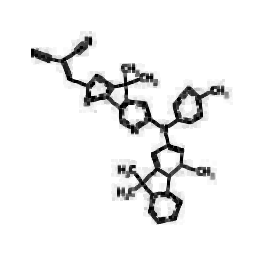 Cc1ccc(N(C2=CC(C)C3C(=C2)C(C)(C)c2ccccc23)c2cc3c(cn2)-c2sc(C=C(C#N)C#N)cc2C3(C)C)cc1